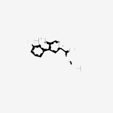 CCOC(=O)c1cc2c(cn1)[nH]c1c(F)cccc12